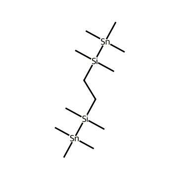 C[Si](C)(CC[Si](C)(C)[Sn]([CH3])([CH3])[CH3])[Sn]([CH3])([CH3])[CH3]